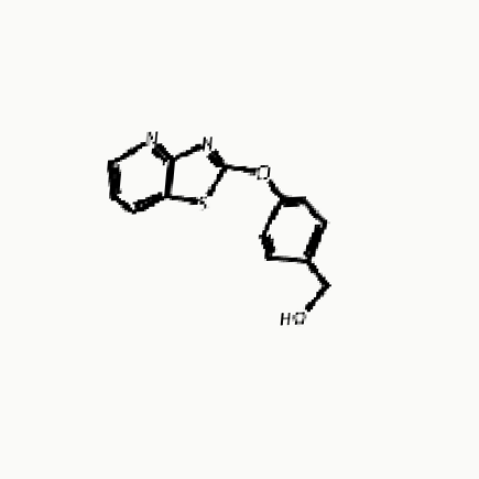 OCc1ccc(Oc2nc3ncccc3s2)cc1